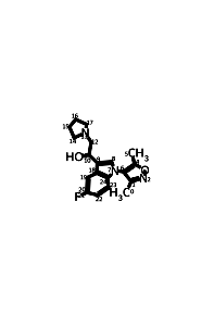 Cc1noc(C)c1-n1cc(C(O)CN2CCCC2)c2cc(F)ccc21